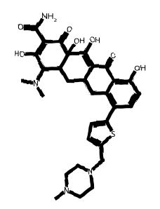 CN1CCN(Cc2ccc(-c3ccc(O)c4c3CC3CC5C(N(C)C)C(O)=C(C(N)=O)C(=O)C5(O)C(O)=C3C4=O)s2)CC1